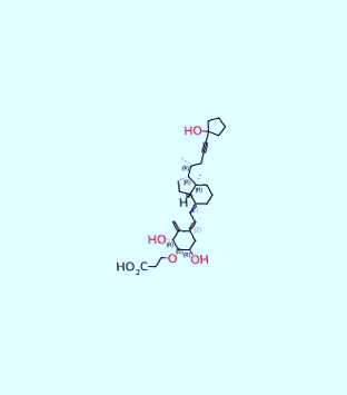 C=C1/C(=C\C=C2/CCC[C@]3(C)[C@@H]([C@H](C)CC#CC4(O)CCCC4)CC[C@@H]23)C[C@@H](O)[C@H](OCCC(=O)O)[C@@H]1O